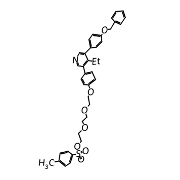 CCc1c(-c2ccc(OCCOCCOCCOS(=O)(=O)c3ccc(C)cc3)cc2)cncc1-c1ccc(OCc2ccccc2)cc1